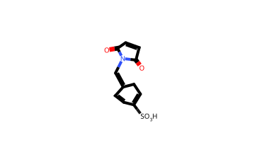 O=C1C=CC(=O)N1C=C1C=CC(S(=O)(=O)O)=CC1